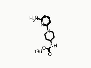 CC(C)(C)OC(=O)NC1CCN(c2cccc(N)n2)CC1